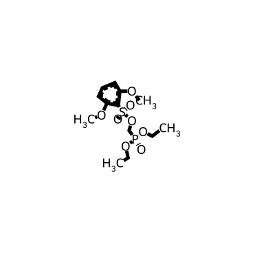 CCOP(=O)(COS(=O)(=O)c1c(OC)cccc1OC)OCC